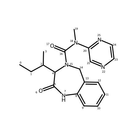 CCC(C)C1C(=O)Nc2ccccc2CN1C(=O)N(C)c1cnccn1